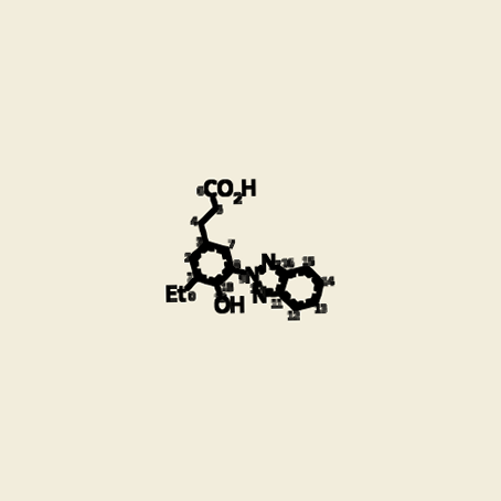 CCc1cc(CCC(=O)O)cc(-n2nc3ccccc3n2)c1O